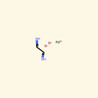 N=CC=N.[Br-].[Br-].[Pd+2]